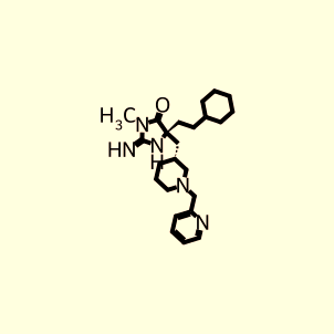 CN1C(=N)N[C@@](CCC2CCCCC2)(C[C@H]2CCCN(Cc3ccccn3)C2)C1=O